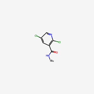 CC(C)(C)NC(=O)c1cc(Cl)cnc1Cl